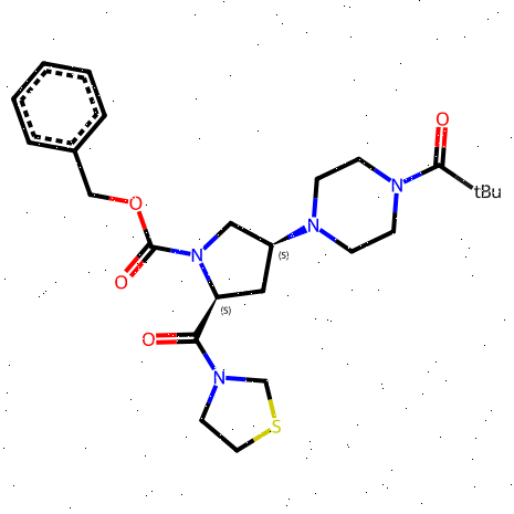 CC(C)(C)C(=O)N1CCN([C@H]2C[C@@H](C(=O)N3CCSC3)N(C(=O)OCc3ccccc3)C2)CC1